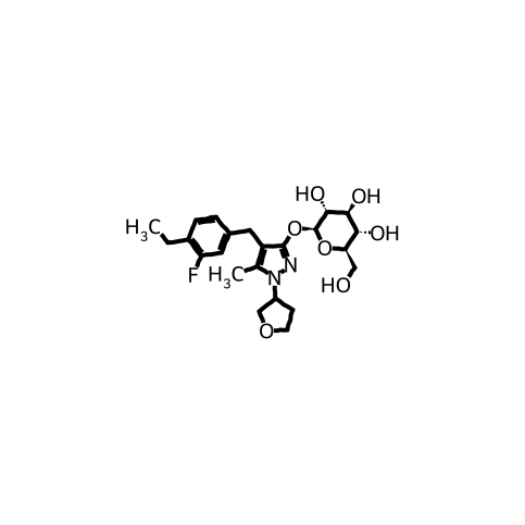 CCc1ccc(Cc2c(O[C@@H]3O[C@H](CO)[C@@H](O)[C@H](O)[C@H]3O)nn(C3CCOC3)c2C)cc1F